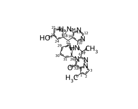 Cc1ccn2nc([C@H](C)Nc3ncnc(N)c3Cc3cccc(O)c3)n(-c3ccccc3)c(=O)c12